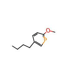 CCCCc1ccc(OC)pc1